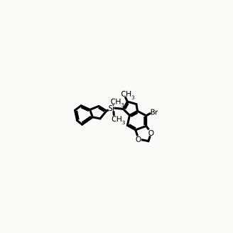 CC1=C([Si](C)(C)C2=Cc3ccccc3C2)c2cc3c(c(Br)c2C1)OCO3